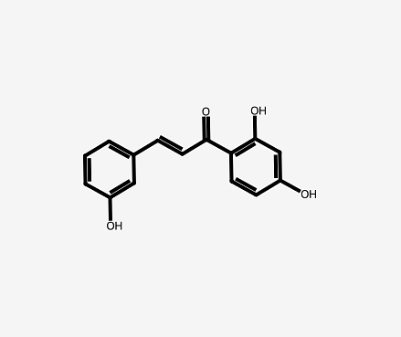 O=C(C=Cc1cccc(O)c1)c1ccc(O)cc1O